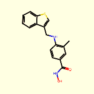 Cc1cc(C(=O)NO)ccc1NCc1csc2ccccc12